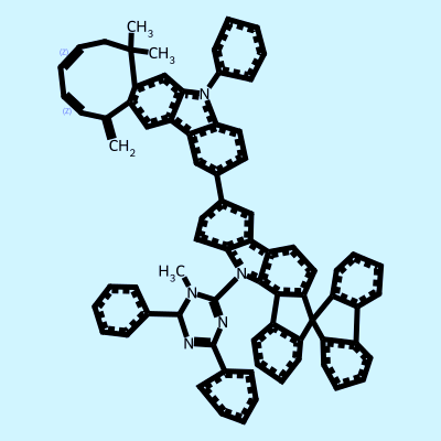 C=C1/C=C\C=C/CC(C)(C)c2cc3c(cc21)c1cc(-c2ccc4c(c2)c2ccc5c(c2n4C2=NC(c4ccccc4)=NC(c4ccccc4)N2C)-c2ccccc2C52c4ccccc4-c4ccccc42)ccc1n3-c1ccccc1